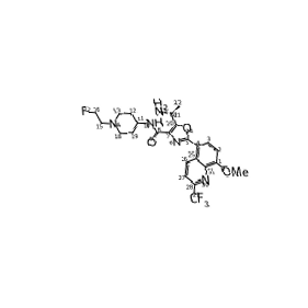 COc1ccc(-c2nc(C(=O)NC3CCN(CCF)CC3)c([C@H](C)N)o2)c2ccc(C(F)(F)F)nc12